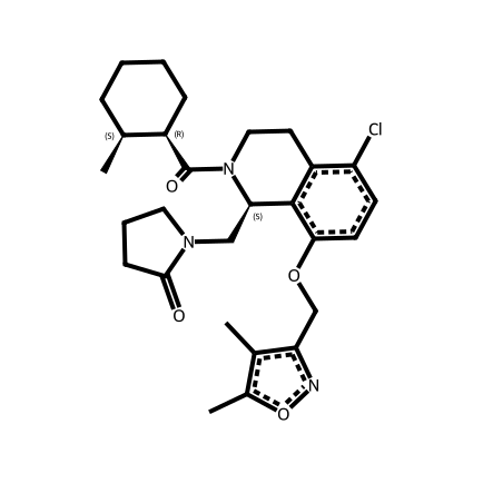 Cc1onc(COc2ccc(Cl)c3c2[C@@H](CN2CCCC2=O)N(C(=O)[C@@H]2CCCC[C@@H]2C)CC3)c1C